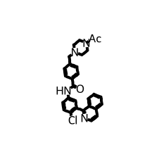 CC(=O)N1CCN(Cc2ccc(C(=O)Nc3ccc(Cl)c(-c4nccc5ccccc45)c3)cc2)CC1